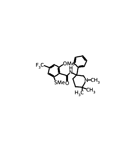 COc1cc(C(F)(F)F)cc(SC)c1C(=O)NC1(c2ccccc2)CCC(C)(C)N(C)C1